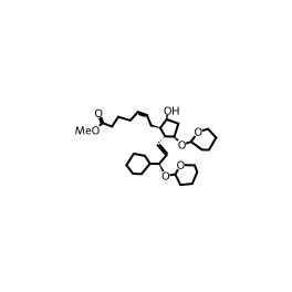 COC(=O)CCC/C=C\C[C@@H]1[C@@H](/C=C/[C@@H](OC2CCCCO2)C2CCCCC2)[C@H](OC2CCCCO2)C[C@@H]1O